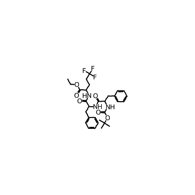 CCOC(=O)C(CCC(F)(F)F)NC(=O)C(Cc1ccccc1)NC(=O)C(Cc1ccccc1)NC(=O)OC(C)(C)C